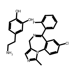 Cc1ncc2n1-c1ccc(Cl)cc1C(c1ccccc1F)=NC2.NCCc1ccc(O)c(O)c1